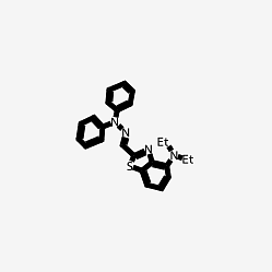 CCN(CC)c1cccc2sc(C=NN(c3ccccc3)c3ccccc3)nc12